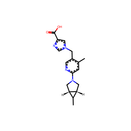 Cc1cc(N2C[C@@H]3C(C)[C@@H]3C2)ncc1Cn1cnc(C(=O)O)c1